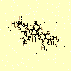 Cc1cc(C(NC(=O)[C@@H]2C[C@@H](F)CN2C(=O)CC2=CNNN2)c2ccccc2)cc(F)c1C(C)C